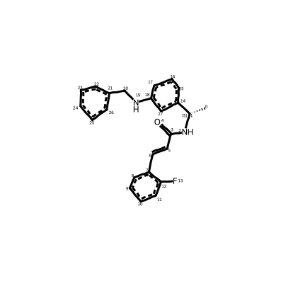 C[C@H](NC(=O)C=Cc1ccccc1F)c1cccc(NCc2ccccc2)c1